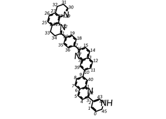 C1=CC(c2ccc3ccc(-c4ccc5ccc(-c6ccc(C7=Nc8c(ccc9c8N=CCC9)CC7)cc6)nc5c4)cc3n2)=CNC1